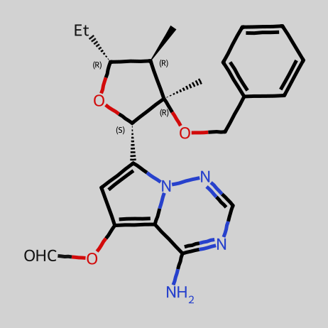 CC[C@H]1O[C@@H](c2cc(OC=O)c3c(N)ncnn23)[C@](C)(OCc2ccccc2)[C@@H]1C